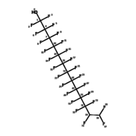 OC(F)(F)C(F)(F)C(F)(F)C(F)(F)C(F)(F)C(F)(F)C(F)(F)C(F)(F)C(F)(F)C(F)(F)C(F)(F)C(F)C(F)F